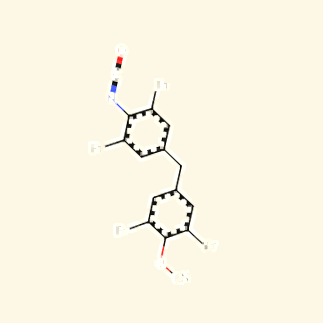 CC(C)c1cc(Cc2cc(C(C)C)c(OC#N)c(C(C)C)c2)cc(C(C)C)c1N=C=O